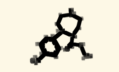 CC(C)(C)OC(=O)N1CCNCCN1c1ccc([N+](=O)[O-])cc1